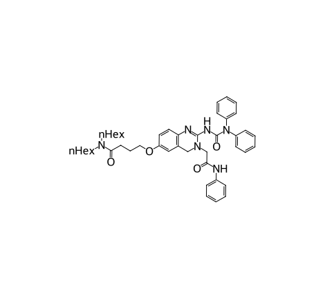 CCCCCCN(CCCCCC)C(=O)CCCOc1ccc2c(c1)CN(CC(=O)Nc1ccccc1)C(NC(=O)N(c1ccccc1)c1ccccc1)=N2